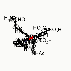 COc1cccc2c1C(=O)c1c(O)c3c(c(O)c1C2=O)CC(O)(/C(CO)=N/NC(=O)CCNC(=O)C(CC(CC(CC(C)C(=O)O)c1ccc2c(c1)CCc1ccc(C(CC(C)C(=O)O)CC(C)C(=O)O)cc1CC2)C(=O)O)CC(CC(C)C(=O)NCCOCCOCCNC(=O)OCCS(=O)(=O)CCSCC(C=O)NC(=O)CN)C(=O)NCCOCCOCCNC(C)=O)CC3OC1CC(N)C(O)C(C)O1